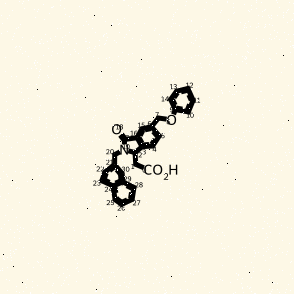 O=C(O)CC1c2ccc(COc3ccccc3)cc2C(=O)N1Cc1ccc2ccccc2c1